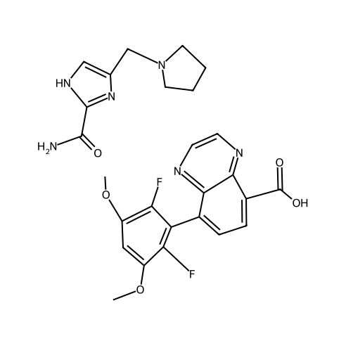 COc1cc(OC)c(F)c(-c2ccc(C(=O)O)c3nccnc23)c1F.NC(=O)c1nc(CN2CCCC2)c[nH]1